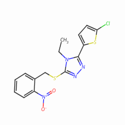 CCn1c(SCc2ccccc2[N+](=O)[O-])nnc1-c1ccc(Cl)s1